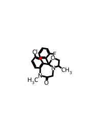 CC1COC2(c3ccccc3F)c3cc(Cl)ccc3N(C)C(=O)CN12